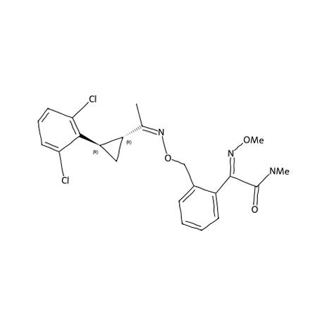 CNC(=O)C(=NOC)c1ccccc1CON=C(C)[C@@H]1C[C@H]1c1c(Cl)cccc1Cl